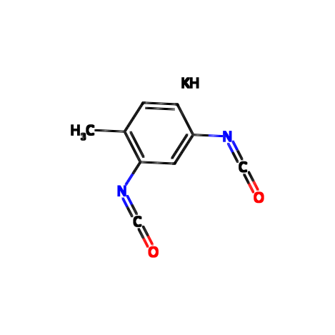 Cc1ccc(N=C=O)cc1N=C=O.[KH]